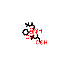 CC(CC(=O)O)CC(C)(C)C.CC(CC(=O)O)CC(C)(C)C.OC1CCCCC1O